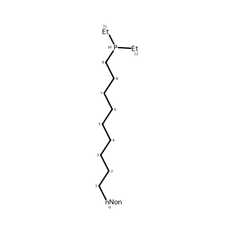 CCCCCCCCCCCCCCCCCCP(CC)CC